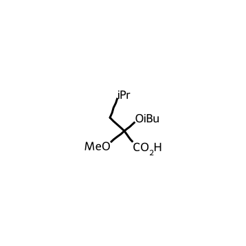 COC(CC(C)C)(OCC(C)C)C(=O)O